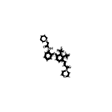 O=C(CN1CCCCC1)Nc1ccccc1Sc1ccc(C=CC(=O)N2CCOCC2)c(C(F)(F)F)c1C(F)(F)F